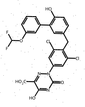 O=C(O)c1nn(-c2cc(Cl)c(Cc3ccc(O)c(-c4cccc(OC(F)F)c4)c3)c(Cl)c2)c(=O)nc1O